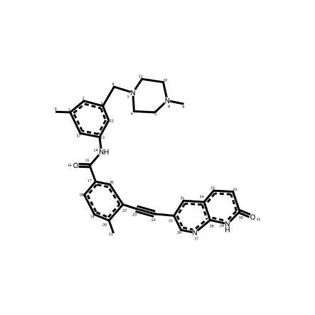 Cc1cc(CN2CCN(C)CC2)cc(NC(=O)c2ccc(C)c(C#Cc3cnc4[nH]c(=O)ccc4c3)c2)c1